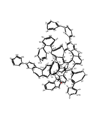 c1ccc(-c2ccc3c(ccc4cc(N(c5cccc6ccccc56)c5ccc6c7c(N(c8cc(-c9ccncc9)ccn8)c8cc9ccccc9c9ccccc89)ccc8oc9cc(-c%10cccc(-c%11ccccc%11)n%10)cc(c%10cc(-c%11ccccc%11-c%11ccncc%11)cc%11oc5c6c%11%10)c9c87)ccc43)c2)cc1